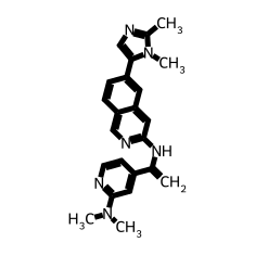 C=C(Nc1cc2cc(-c3cnc(C)n3C)ccc2cn1)c1ccnc(N(C)C)c1